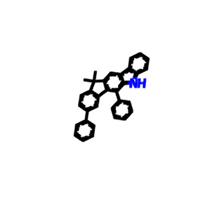 CC1(C)c2ccc(-c3ccccc3)cc2-c2c1cc1c([nH]c3ccccc31)c2-c1ccccc1